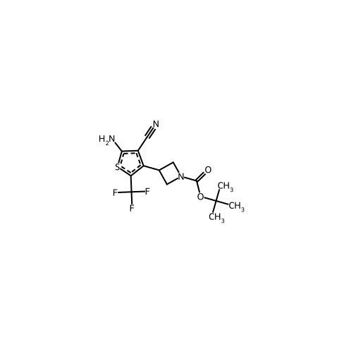 CC(C)(C)OC(=O)N1CC(c2c(C(F)(F)F)sc(N)c2C#N)C1